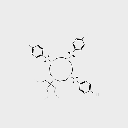 COCC(COC)(COC)N1CCN(S(=O)(=O)c2ccc(C)cc2)CCN(S(=O)(=O)c2ccc(C)cc2)CCN(S(=O)(=O)c2ccc(C)cc2)CC1